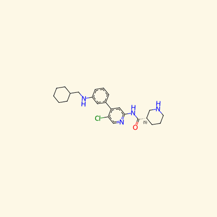 O=C(Nc1cc(-c2cccc(NCC3CCCCC3)c2)c(Cl)cn1)[C@H]1CCCNC1